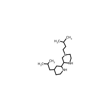 CC(C)CCN1CCNC(C2CC(CC(C)C)CCN2)C1